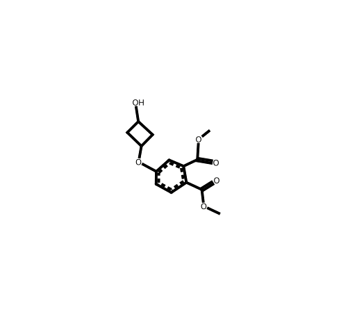 COC(=O)c1ccc(OC2CC(O)C2)cc1C(=O)OC